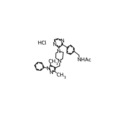 CC(=O)NCc1ccc(-c2nccnc2N2CCN(Cc3c(C)nn(-c4ccccc4)c3C)CC2)cc1.Cl